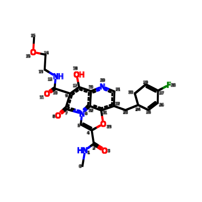 CNC(=O)C1=Cn2c(=O)c(C(=O)NCCOC)c(O)c3ncc(CC4C=CC(F)=CC4)c(c32)O1